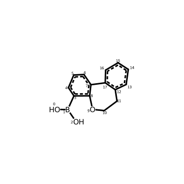 OB(O)c1cccc2c1OCCc1ccccc1-2